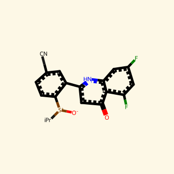 CC(C)[S+]([O-])c1ccc(C#N)cc1-c1cc(=O)c2c(F)cc(F)cc2[nH]1